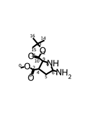 COC(=O)C1CC(N)NC1C(=O)OC(C)(C)C